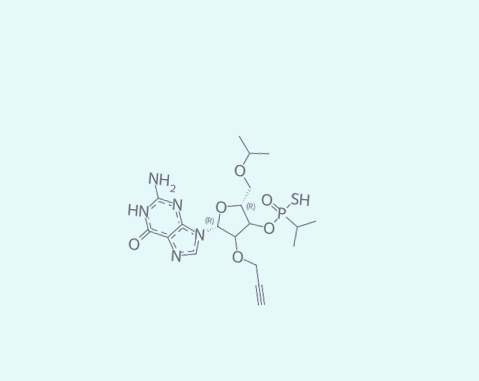 C#CCOC1C(OP(=O)(S)C(C)C)[C@@H](COC(C)C)O[C@H]1n1cnc2c(=O)[nH]c(N)nc21